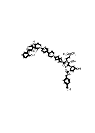 C#Cc1ccc(CNC(=O)[C@@H]2C[C@@H](O)CN2C(=O)[C@@H](N(CCN(C)C)C(=O)N2CC3(CC(N4CCC(c5cnc(N6CCc7[nH]c8nnc(-c9ccccc9O)cc8c7[C@H]6C)nc5)CC4)C3)C2)C(C)(C)C)cc1